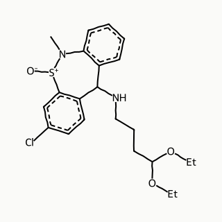 CCOC(CCCNC1c2ccccc2N(C)[S+]([O-])c2cc(Cl)ccc21)OCC